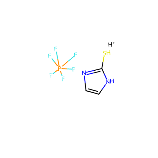 F[P-](F)(F)(F)(F)F.Sc1ncc[nH]1.[H+]